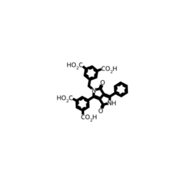 O=C1NC(c2ccccc2)=C2C(=O)N(Cc3cc(C(=O)O)cc(C(=O)O)c3)C(c3cc(C(=O)O)cc(C(=O)O)c3)=C12